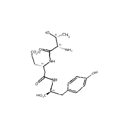 C[C@@H](O)[C@H](N)C(=O)N[C@@H](CC(=O)O)C(=O)N[C@@H](Cc1ccc(O)cc1)C(=O)O